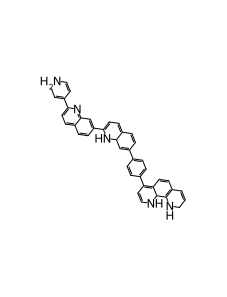 C/C=C(\C=C/N)c1ccc2ccc(C3=CC=C4C=CC(c5ccc(C6=C7C=CC8=C(NCC=C8)C7NC=C6)cc5)=CC4N3)cc2n1